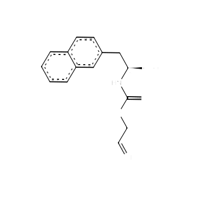 C=CCOC(=O)N[C@H](C=O)Cc1ccc2ccccc2c1